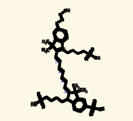 CC1(C)C(/C=C/C=C/C=C/C=C2/N(CCCCS(=O)(=O)O)c3ccc(S(=O)(=O)O)cc3C2(C)C)=[N+](CCCCS(=O)(=O)O)c2ccc(SOOO)cc21